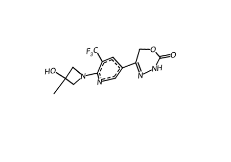 CC1(O)CN(c2ncc(C3=NNC(=O)OC3)cc2C(F)(F)F)C1